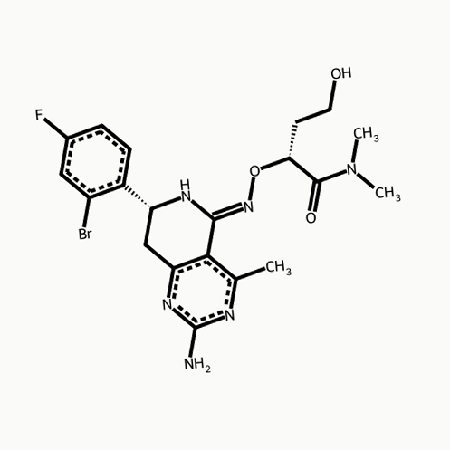 Cc1nc(N)nc2c1/C(=N/O[C@H](CCO)C(=O)N(C)C)N[C@@H](c1ccc(F)cc1Br)C2